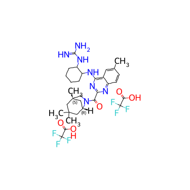 Cc1ccc2nc(C(=O)N3C[C@]4(C)C[C@H]3CC(C)(C)C4)nc(NC3CCCCC3NC(=N)N)c2c1.O=C(O)C(F)(F)F.O=C(O)C(F)(F)F